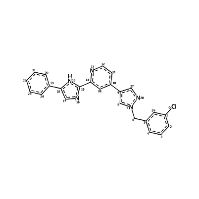 Clc1cccc(Cn2cc(-c3ccnc(-c4ncc(-c5ccccc5)[nH]4)c3)cn2)c1